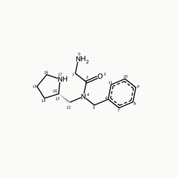 NCC(=O)N(Cc1ccccc1)C[C@@H]1CCCN1